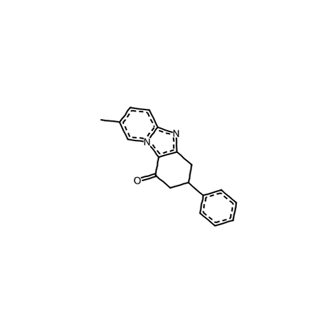 Cc1ccc2nc3c(n2c1)C(=O)CC(c1ccccc1)C3